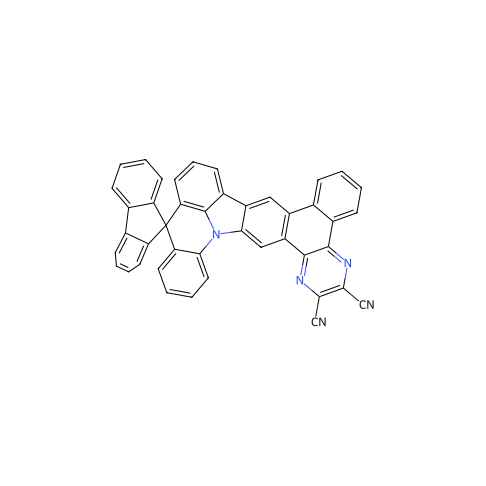 N#Cc1nc2c3ccccc3c3cc4c5cccc6c5n(c4cc3c2nc1C#N)-c1ccccc1C61c2ccccc2-c2ccccc21